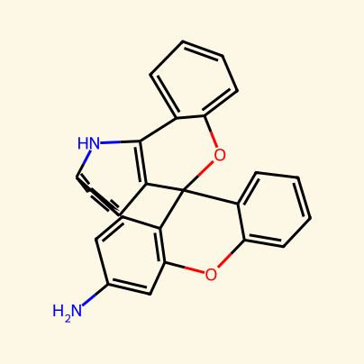 Nc1ccc2c(c1)Oc1ccccc1C21Oc2ccccc2-c2[nH]c3ccccc3c21